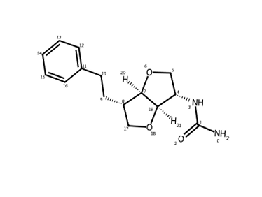 NC(=O)N[C@H]1CO[C@@H]2[C@@H](CCc3ccccc3)CO[C@@H]21